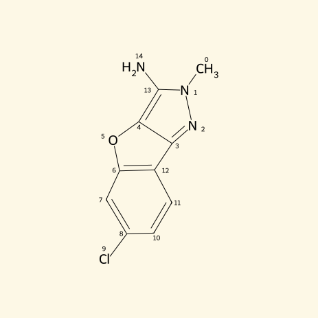 Cn1nc2c(oc3cc(Cl)ccc32)c1N